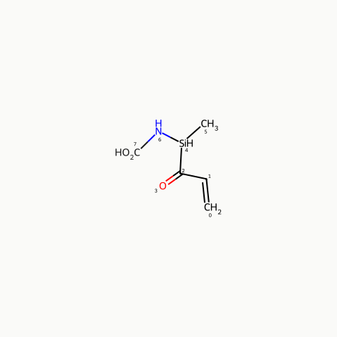 C=CC(=O)[SiH](C)NC(=O)O